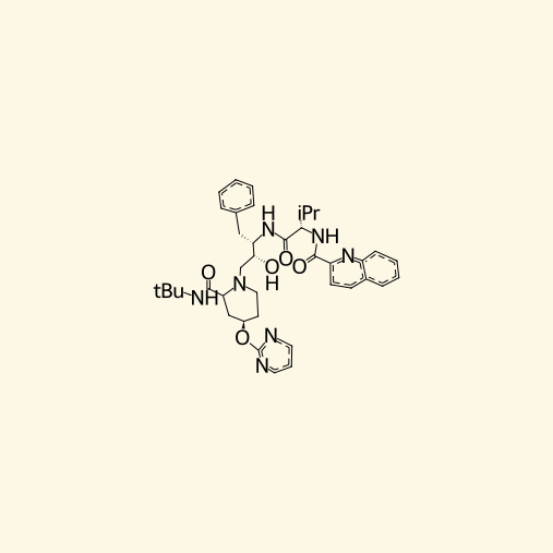 CC(C)[C@H](NC(=O)c1ccc2ccccc2n1)C(=O)N[C@@H](Cc1ccccc1)[C@H](O)CN1CC[C@@H](Oc2ncccn2)CC1C(=O)NC(C)(C)C